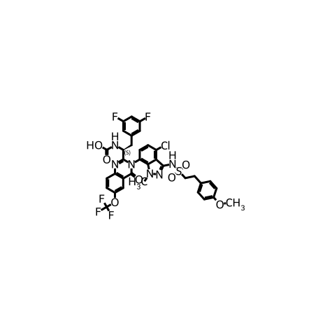 COc1ccc(CCS(=O)(=O)Nc2nn(C)c3c(-n4c([C@H](Cc5cc(F)cc(F)c5)NC(=O)O)nc5ccc(OC(F)(F)F)cc5c4=O)ccc(Cl)c23)cc1